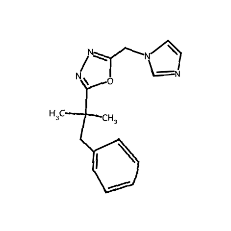 CC(C)(Cc1ccccc1)c1nnc(Cn2ccnc2)o1